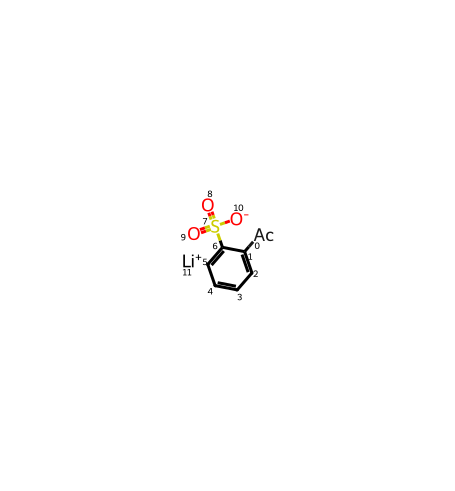 CC(=O)c1ccccc1S(=O)(=O)[O-].[Li+]